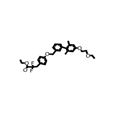 CCOCCOc1cc(C)c(-c2cccc(COc3ccc(CC(F)(F)C(=O)OCC)cc3)c2)c(C)c1